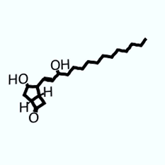 CCCCCCCCCCCCC(O)C=CC1C(O)C[C@@H]2C(=O)C[C@@H]12